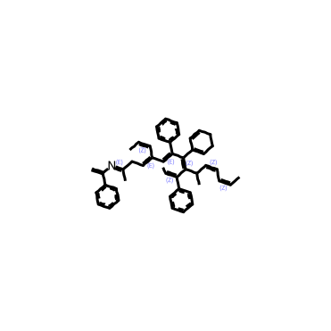 C=C(/N=C(\C)C/C=C(\C=C/C)/C=C(/C(C1=CCCC=C1)=C(\C(=C/C)c1ccccc1)C(C)/C=C\C=C/C)c1ccccc1)c1ccccc1